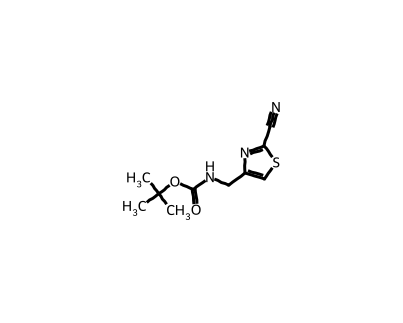 CC(C)(C)OC(=O)NCc1csc(C#N)n1